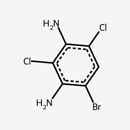 Nc1c(Cl)cc(Br)c(N)c1Cl